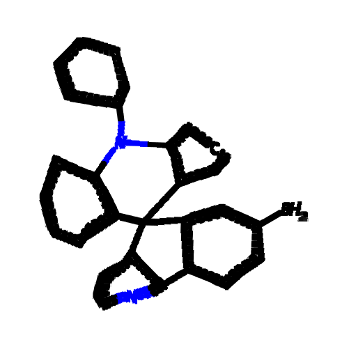 Bc1ccc2c(c1)C1(c3ccccc3N(c3ccccc3)c3ccccc31)c1cccnc1-2